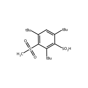 CC(C)(C)c1cc(C(C)(C)C)c(S(=O)(=O)O)c(C(C)(C)C)c1S(C)(=O)=O